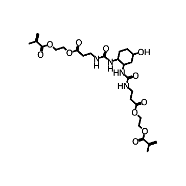 C=C(C)C(=O)OCCOC(=O)CCNC(=O)NC1CCC(O)CC1NC(=O)NCCC(=O)OCCOC(=O)C(=C)C